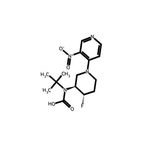 CC(C)(C)N(C(=O)O)[C@H]1CN(c2ccncc2[N+](=O)[O-])CC[C@@H]1F